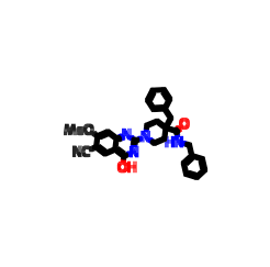 COc1cc2nc(N3CCC(Cc4ccccc4)(C(=O)NCc4ccccc4)CC3)nc(O)c2cc1C#N